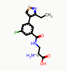 CCc1nscc1-c1cc(F)cc(C(=O)NC[C@@H](N)C(=O)O)c1